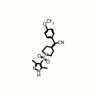 Cc1n[nH]c(C)c1S(=O)(=O)N1CCC(=C(C#N)c2ccc(OC(F)(F)F)cc2)CC1